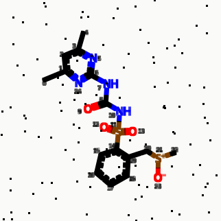 Cc1cc(C)nc(NC(=O)NS(=O)(=O)c2ccccc2C[S+](C)[O-])n1